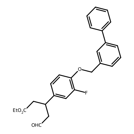 CCOC(=O)CC(CC=O)c1ccc(OCc2cccc(-c3ccccc3)c2)c(F)c1